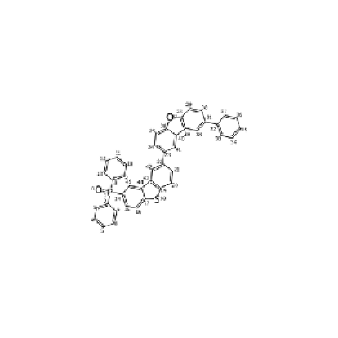 O=P(c1ccccc1)(c1ccccc1)c1ccc2sc3ccc(-c4ccc5oc6ccc(-c7ccccc7)cc6c5c4)cc3c2c1